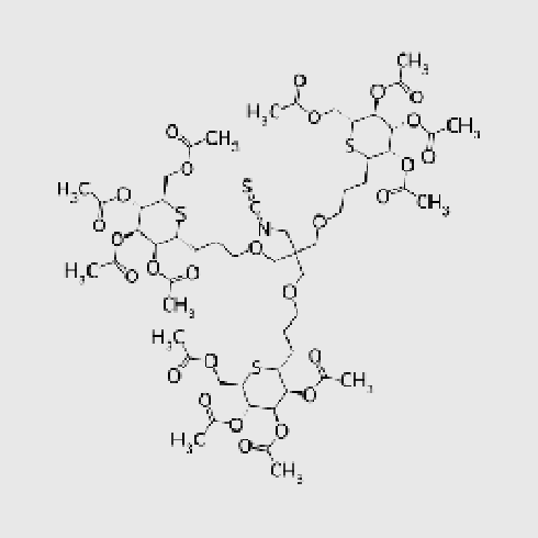 CC(=O)OC[C@H]1S[C@H](CCCOCC(CN=C=S)(COCCC[C@H]2S[C@H](COC(C)=O)[C@@H](OC(C)=O)[C@H](OC(C)=O)[C@@H]2OC(C)=O)COCCC[C@H]2S[C@H](COC(C)=O)[C@@H](OC(C)=O)[C@H](OC(C)=O)[C@@H]2OC(C)=O)[C@@H](OC(C)=O)[C@@H](OC(C)=O)[C@@H]1OC(C)=O